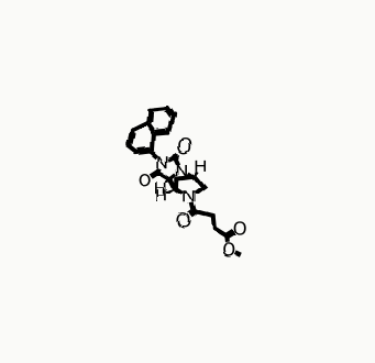 COC(=O)CCC(=O)N1C[C@@H]2C[C@H]1[C@H]1C(=O)N(c3cccc4ccccc34)C(=O)N21